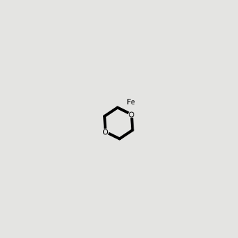 C1COCCO1.[Fe]